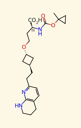 CC1(OC(=O)N[C@@H](CCO[C@H]2C[C@H](CCc3ccc4c(n3)NCCC4)C2)C(=O)O)CC1